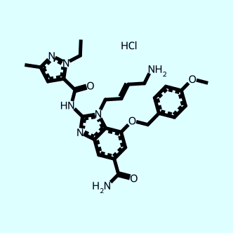 CCn1nc(C)cc1C(=O)Nc1nc2cc(C(N)=O)cc(OCc3ccc(OC)cc3)c2n1C/C=C/CN.Cl